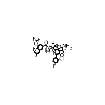 Cc1cnc2c(OC(F)F)cc(C(=O)NCC(O)(c3cc4c(c(-c5ccc(F)cc5Cl)n3)OC[C@]4(C)C(N)=O)C3(F)CC3)cc2c1